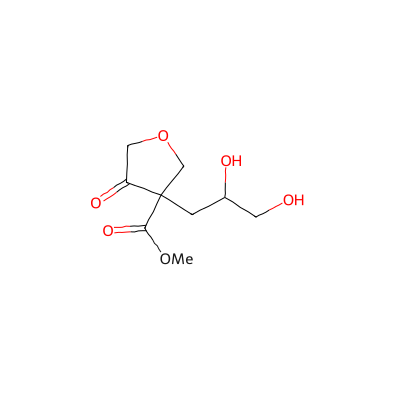 COC(=O)C1(CC(O)CO)COCC1=O